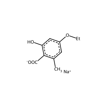 CCOc1cc(C)c(C(=O)[O-])c(O)c1.[Na+]